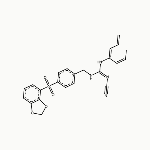 C=C/C=C(\C=C/C)N/C(=N/C#N)NCc1ccc(S(=O)(=O)c2cccc3c2OCO3)cc1